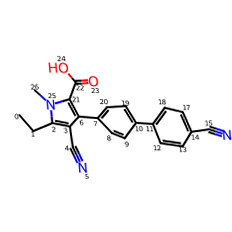 CCc1c(C#N)c(-c2ccc(-c3ccc(C#N)cc3)cc2)c(C(=O)O)n1C